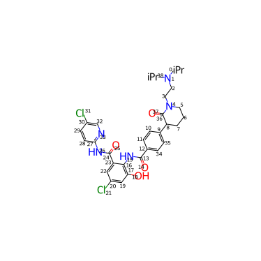 CC(C)N(CCN1CCCC(c2ccc(C(=O)Nc3c(O)cc(Cl)cc3C(=O)Nc3ccc(Cl)cn3)cc2)C1=O)C(C)C